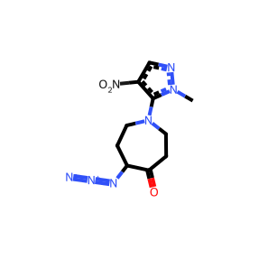 Cn1ncc([N+](=O)[O-])c1N1CCC(=O)C(N=[N+]=[N-])CC1